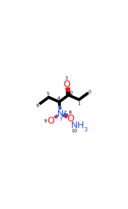 CCC(=O)C(CC)[N+](=O)[O-].N